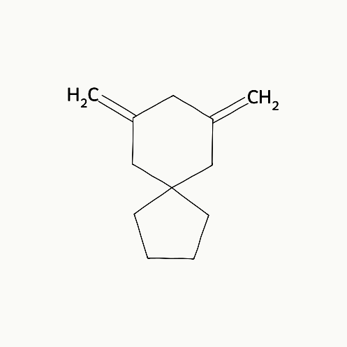 C=C1CC(=C)CC2(CCCC2)C1